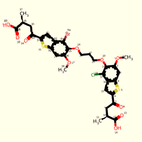 COc1cc2sc(C(=O)C[C@H](C)C(=O)O)cc2c(Cl)c1OCCCOc1c(OC)cc2sc(C(=O)C[C@H](C)C(=O)O)cc2c1Br